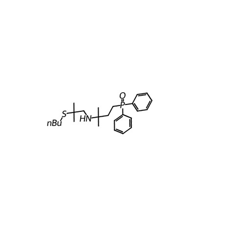 CCCCSC(C)(C)CNC(C)(C)CCP(=O)(c1ccccc1)c1ccccc1